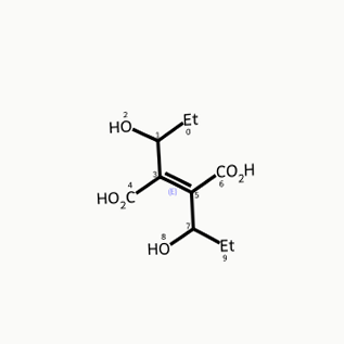 CCC(O)/C(C(=O)O)=C(\C(=O)O)C(O)CC